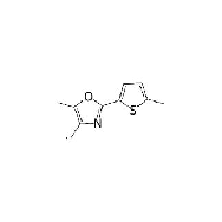 [CH2]c1nc(-c2ccc(C)s2)oc1C